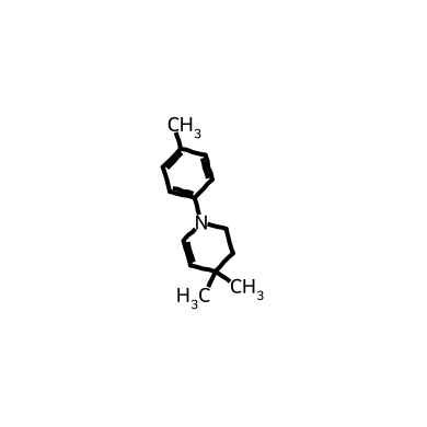 Cc1ccc(N2C=CC(C)(C)CC2)cc1